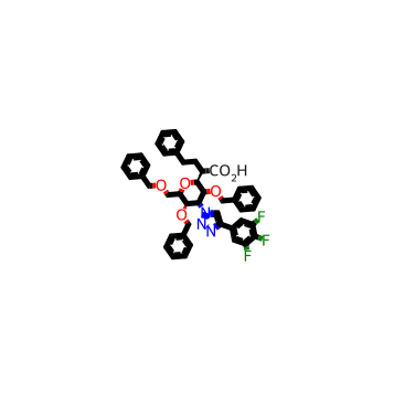 O=C(O)C(CCc1ccccc1)[C@@H]1OC(COCc2ccccc2)[C@H](OCc2ccccc2)C(n2cc(-c3cc(F)c(F)c(F)c3)nn2)C1OCc1ccccc1